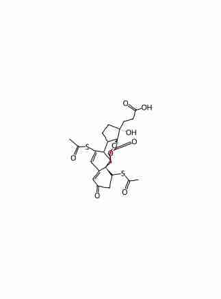 CC(=O)SC1=CC2=CC(=O)CC(SC(C)=O)[C@@]23COC(=O)[C@]24CCC3C1C2CC[C@@]4(O)CCC(=O)O